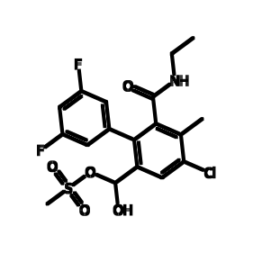 CCNC(=O)c1c(C)c(Cl)cc(C(O)OS(C)(=O)=O)c1-c1cc(F)cc(F)c1